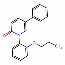 CCCOc1ccccc1-n1cc(-c2ccccc2)ccc1=O